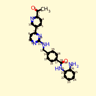 CC(=O)c1ccc(-c2ccnc(NCc3ccc(C(=O)Nc4ccccc4N)cc3)n2)cn1